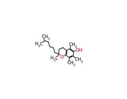 Cc1c(C)c2c(c(C)c1O)CCC(C)(CCCCC(C)C)O2